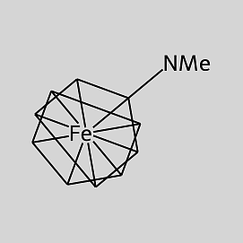 CN[C]12[CH]3[CH]4[CH]5[CH]1[Fe]45321678[CH]2[CH]1[CH]6[CH]7[CH]28